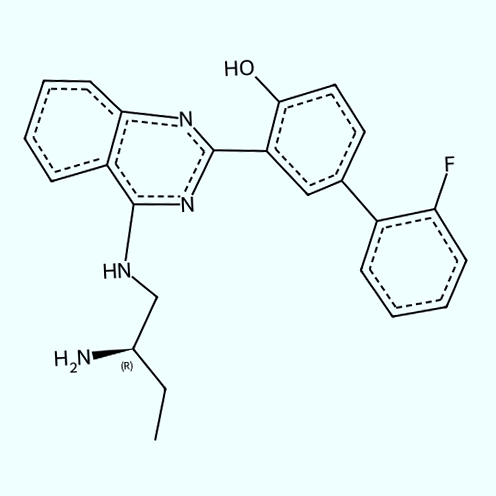 CC[C@@H](N)CNc1nc(-c2cc(-c3ccccc3F)ccc2O)nc2ccccc12